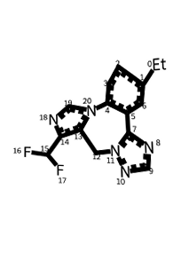 CCc1ccc2c(c1)-c1ncnn1Cc1c(C(F)F)ncn1-2